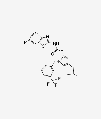 CC(C)Cc1cc(OC(=O)Nc2nc3ccc(F)cc3s2)n(Cc2cccc(C(F)(F)F)c2)c1